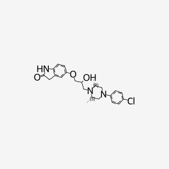 C[C@@H]1CN(c2ccc(Cl)cc2)C[C@H](C)N1CC(O)COc1ccc2c(c1)CC(=O)N2